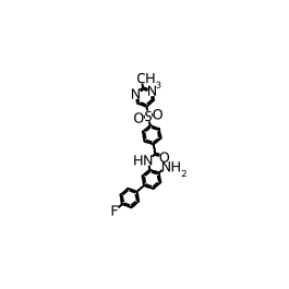 Cc1ncc(S(=O)(=O)c2ccc(C(=O)Nc3cc(-c4ccc(F)cc4)ccc3N)cc2)cn1